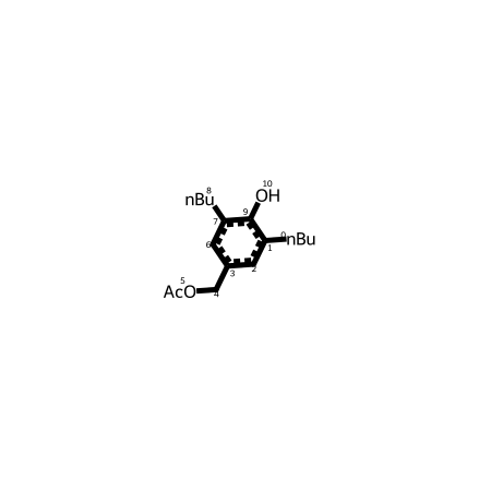 CCCCc1cc(COC(C)=O)cc(CCCC)c1O